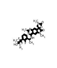 Cc1nc(N[C@H](C)c2cccc(C(F)(F)C(C)(C)O)c2F)c2cc3c(cc2n1)C1(CN(C)C(=O)O1)C(=O)N3C